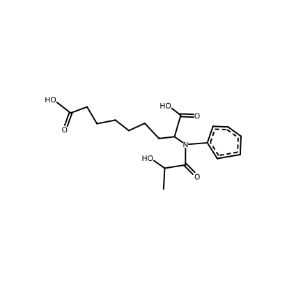 CC(O)C(=O)N(c1ccccc1)C(CCCCCCC(=O)O)C(=O)O